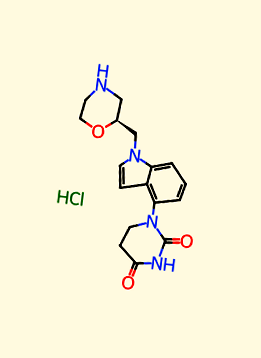 Cl.O=C1CCN(c2cccc3c2ccn3C[C@@H]2CNCCO2)C(=O)N1